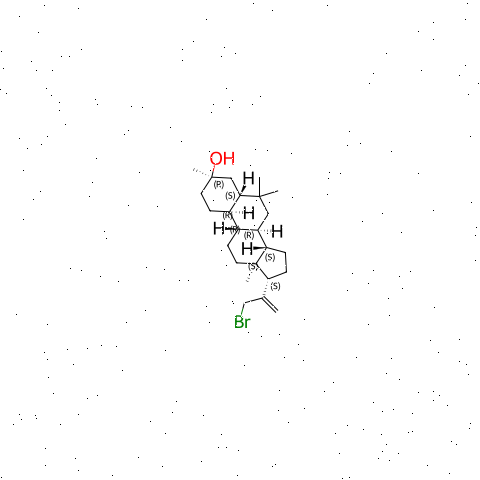 C=C(CBr)[C@H]1CC[C@H]2[C@@H]3CC(C)(C)[C@H]4C[C@](C)(O)CC[C@@H]4[C@H]3CC[C@]12C